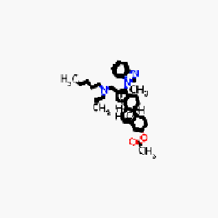 C=CCN(CCCCC)CC1=C(n2cnc3ccccc32)[C@@]2(C)CC[C@H]3[C@@H](CC=C4C[C@@H](OC(C)=O)CC[C@@]43C)[C@@H]2C1